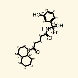 CCC(O)(NC(=O)CCCC(=O)N1CCCC2CCCCC21)c1cccc(O)c1